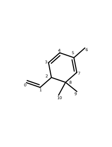 C=CC1C=CC(C)=CC1(C)C